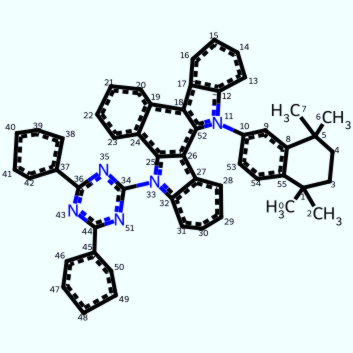 CC1(C)CCC(C)(C)c2cc(-n3c4ccccc4c4c5ccccc5c5c(c6ccccc6n5-c5nc(-c6ccccc6)nc(-c6ccccc6)n5)c43)ccc21